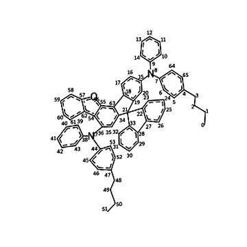 CCCCc1ccc(N(c2ccccc2)c2ccc3c(c2)C2(c4ccccc4-c4ccccc42)c2cc(N(c4ccccc4)c4ccc(CCCC)cc4)c4c(oc5ccccc54)c2-3)cc1